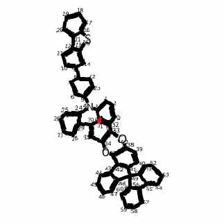 c1ccc(N(c2ccc(-c3ccc4c(c3)sc3ccccc34)cc2)c2ccccc2-c2ccc3c(c2)Oc2c(ccc4c2-c2ccccc2C42c4ccccc4-c4ccccc42)O3)cc1